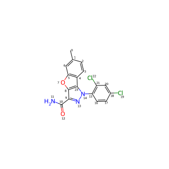 Cc1ccc2c(c1)oc1c(C(N)=O)nn(-c3ccc(Cl)cc3Cl)c12